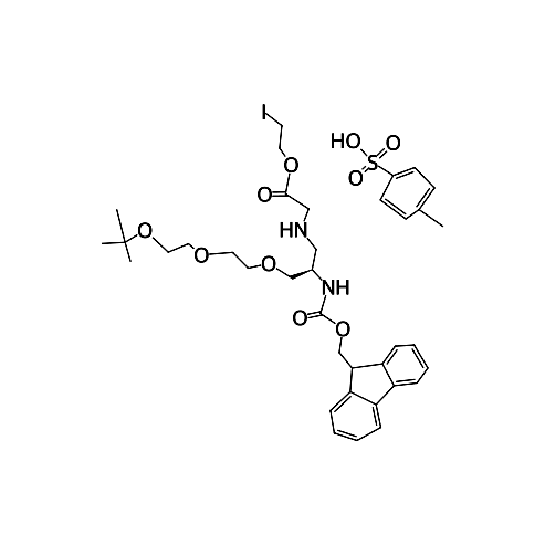 CC(C)(C)OCCOCCOC[C@@H](CNCC(=O)OCCI)NC(=O)OCC1c2ccccc2-c2ccccc21.Cc1ccc(S(=O)(=O)O)cc1